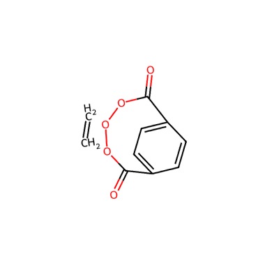 C=C.O=c1oooc(=O)c2ccc1cc2